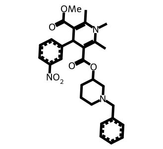 COC(=O)C1=C(C)N(C)C(C)=C(C(=O)OC2CCCN(Cc3ccccc3)C2)C1c1cccc([N+](=O)[O-])c1